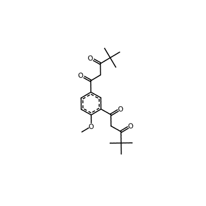 COc1ccc(C(=O)CC(=O)C(C)(C)C)cc1C(=O)CC(=O)C(C)(C)C